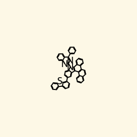 c1ccc(-c2nc(-n3c4ccc(-c5cccc6c5sc5ccccc56)cc4c4c5c6ccccc6ccc5c5ccccc5c43)nc3ccccc23)cc1